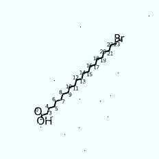 O=C(O)CCCCCCCCCCCCCCCCCCCCCBr